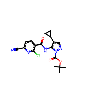 CC(C)(C)OC(=O)n1ncc(C2CC2)c1NC(=O)c1ccc(C#N)nc1Cl